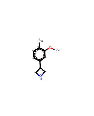 CCCCOc1cc(C2CNC2)ccc1C(C)(C)C